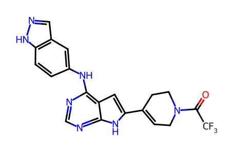 O=C(N1CC=C(c2cc3c(Nc4ccc5[nH]ncc5c4)ncnc3[nH]2)CC1)C(F)(F)F